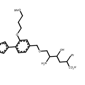 COCCCOc1cc(COCC(N)C(O)CC(C(=O)O)C(C)C)ccc1-c1ccoc1